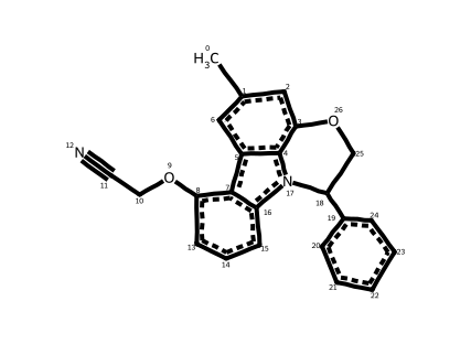 Cc1cc2c3c(c1)c1c(OCC#N)cccc1n3C(c1ccccc1)CO2